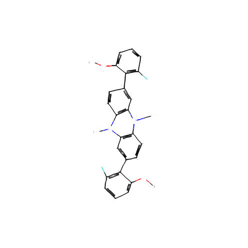 CC(C)Oc1cccc(F)c1-c1ccc2c(c1)N(C(C)C)c1ccc(-c3c(F)cccc3OC(C)C)cc1N2C(C)C